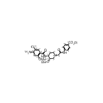 CCOC(=O)c1ccc(NC(=O)CN2CC[C@H](NC(=O)c3cc(Cl)c(N)nc3OC)[C@H](OC)C2)cc1